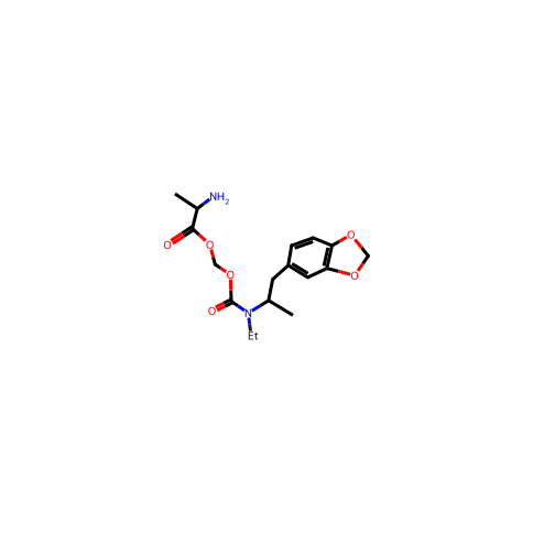 CCN(C(=O)OCOC(=O)C(C)N)C(C)Cc1ccc2c(c1)OCO2